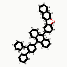 c1ccc(-c2ccc(-c3c4ccccc4c(-c4ccc5oc6cc7ccccc7cc6c5c4)c4ccccc34)cc2-c2ccccc2)cc1